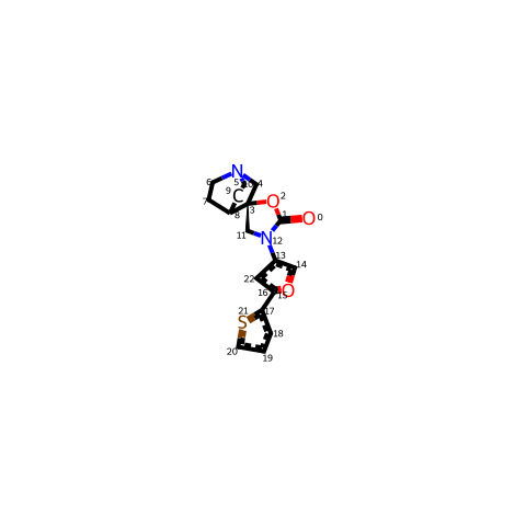 O=C1O[C@]2(CN3CCC2CC3)CN1c1coc(-c2cccs2)c1